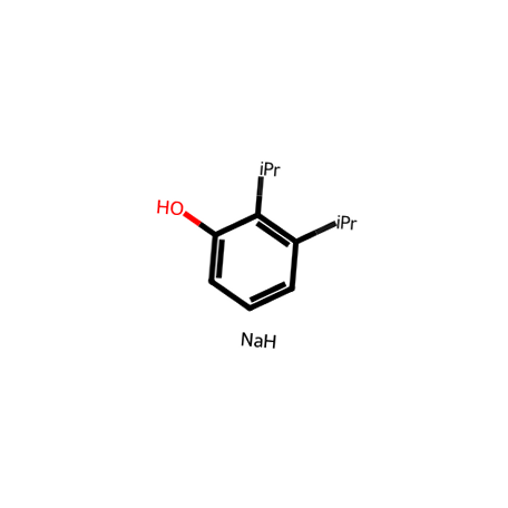 CC(C)c1cccc(O)c1C(C)C.[NaH]